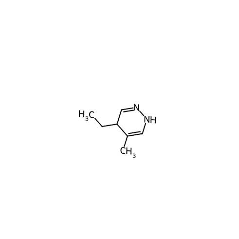 CCC1C=NNC=C1C